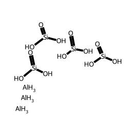 O=[Si](O)O.O=[Si](O)O.O=[Si](O)O.O=[Si](O)O.[AlH3].[AlH3].[AlH3]